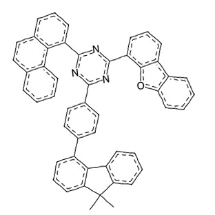 CC1(C)c2ccccc2-c2c(-c3ccc(-c4nc(-c5cccc6c5oc5ccccc56)nc(-c5cccc6ccc7ccccc7c56)n4)cc3)cccc21